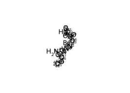 NC(=O)c1ccc(N2CCN(Cc3ccc4c(c3Br)CN(C3CCC(=O)NC3=O)C4=O)CC2)nc1-c1ccc(Oc2ccccc2)cc1